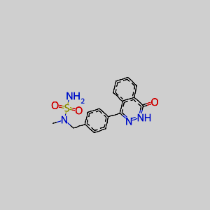 CN(Cc1ccc(-c2n[nH]c(=O)c3ccccc23)cc1)S(N)(=O)=O